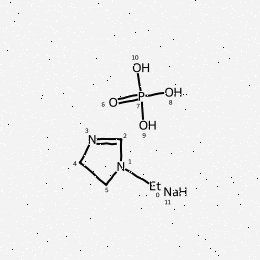 CCN1C=NCC1.O=P(O)(O)O.[NaH]